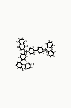 C1=Cc2oc3cccc(-c4ccc(N(c5ccc(-c6ccc(-n7c8ccccc8c8ccccc87)cc6)cc5)c5ccc6ccccc6c5)cc4)c3c2CN1